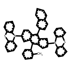 Cc1ccccc1-c1c2ccc(N3c4ccccc4Sc4ccccc43)cc2c(-c2ccc3ccccc3c2)c2ccc(N3c4ccccc4Sc4ccccc43)cc12